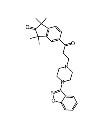 CC1(C)C(=O)C(C)(C)c2cc(C(=O)CCN3CCN(c4noc5ccccc45)CC3)ccc21